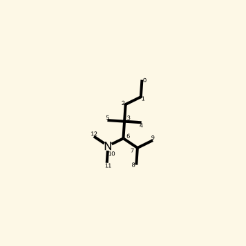 CCCC(C)(C)C(C(C)C)N(C)C